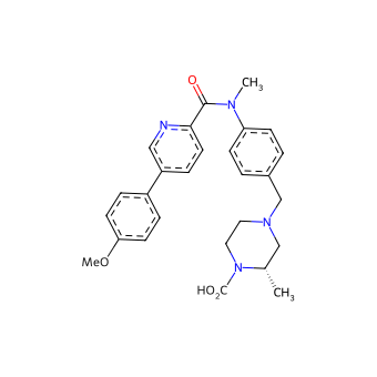 COc1ccc(-c2ccc(C(=O)N(C)c3ccc(CN4CCN(C(=O)O)[C@@H](C)C4)cc3)nc2)cc1